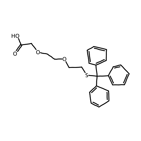 O=C(O)COCCOCCSC(c1ccccc1)(c1ccccc1)c1ccccc1